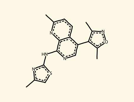 Cc1csc(Nc2ncc(-c3c(C)noc3C)c3ccc(C)nc23)n1